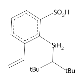 C=Cc1cccc(S(=O)(=O)O)c1[SiH2]C(C(C)(C)C)C(C)(C)C